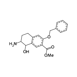 COC(=O)c1cc2c(cc1OCc1ccccc1)CCC(N)C2O